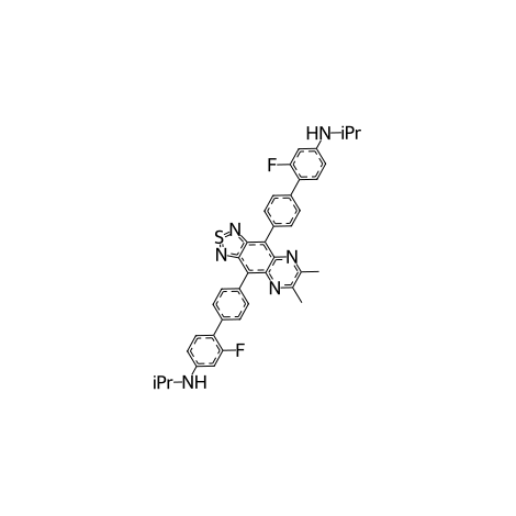 Cc1nc2c(-c3ccc(-c4ccc(NC(C)C)cc4F)cc3)c3nsnc3c(-c3ccc(-c4ccc(NC(C)C)cc4F)cc3)c2nc1C